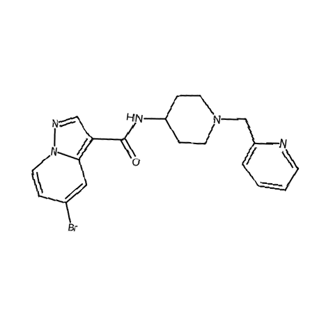 O=C(NC1CCN(Cc2ccccn2)CC1)c1cnn2ccc(Br)cc12